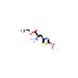 CCOC(=O)/C(N)=C/c1csc(OC)n1